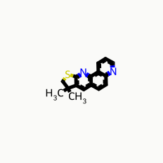 CC1(C)CSc2nc3c(ccc4ncccc43)cc21